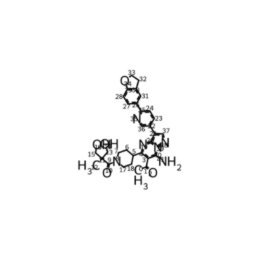 CC(=O)c1c(C2CCN(C(=O)C(C)(CO)CO)CC2)nc2c(-c3ccc(-c4ccc5c(c4)CCO5)nc3)cnn2c1N